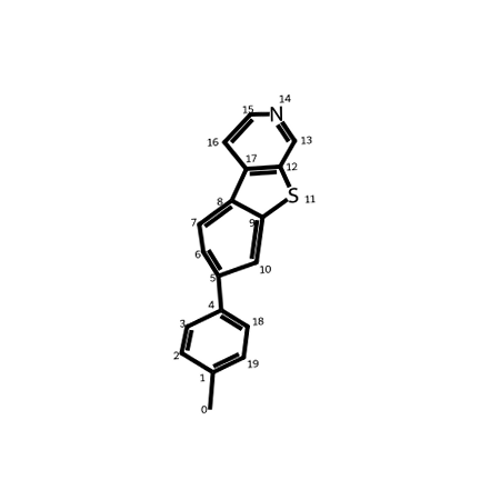 Cc1ccc(-c2ccc3c(c2)sc2cnccc23)cc1